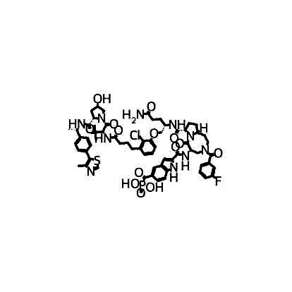 Cc1ncsc1-c1ccc([C@H](C)NC(=O)[C@@H]2C[C@@H](O)CN2C(=O)[C@@H](NC(=O)CCCc2cccc(OC[C@H](CCC(N)=O)NC(=O)[C@@H]3CC[C@@H]4CCN(C(=O)c5cccc(F)c5)C[C@H](NC(=O)c5cc6cc(C(=O)P(=O)(O)O)ccc6[nH]5)C(=O)N43)c2Cl)C(C)(C)C)cc1